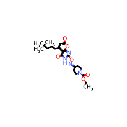 CCOC(=O)N1CCC(=NOc2nc3oc(=O)cc(CCCC(C)(C)C)c3c(=O)[nH]2)CC1